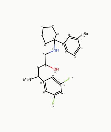 CNC(CC(O)CNC1(c2cccc(C(C)(C)C)c2)CCCCC1)c1cc(F)cc(F)c1